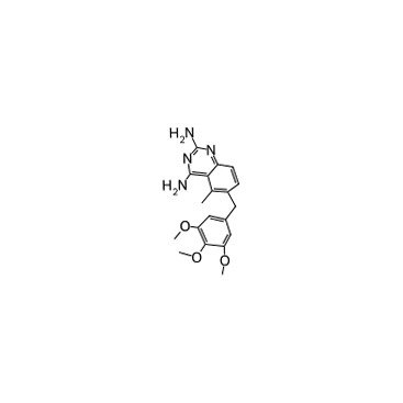 COc1cc(Cc2ccc3nc(N)nc(N)c3c2C)cc(OC)c1OC